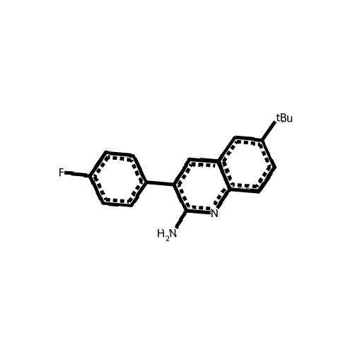 CC(C)(C)c1ccc2nc(N)c(-c3ccc(F)cc3)cc2c1